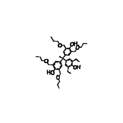 CCCOCc1cc(C(C)(c2cc(CC)c(O)c(CC)c2)c2cc(COCCC)c(O)c(COCCC)c2)cc(COCCC)c1O